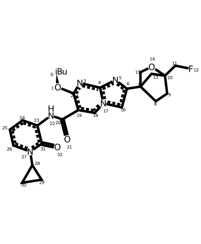 CC[C@H](C)Oc1nc2nc(C34CCC(CF)(C3)OC4)cn2cc1C(=O)Nc1cccn(C2CC2)c1=O